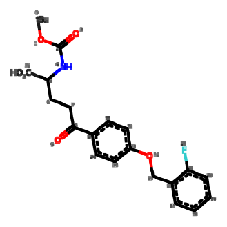 CC(C)(C)OC(=O)NC(CCC(=O)c1ccc(OCc2ccccc2F)cc1)C(=O)O